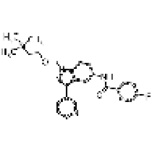 C[Si](C)(C)CCOCn1nc(-c2cccnc2)c2cc(NC(=O)c3ccc(F)cc3)ccc21